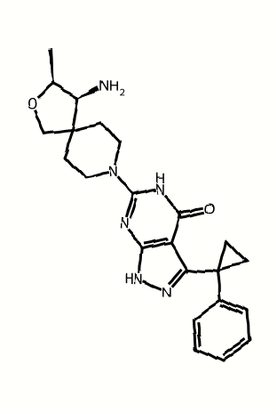 C[C@@H]1OCC2(CCN(c3nc4[nH]nc(C5(c6ccccc6)CC5)c4c(=O)[nH]3)CC2)[C@@H]1N